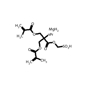 C=C(C)C(=O)OCC(CCC)(COC(=O)C(=C)C)C(=O)OCS(=O)(=O)O.[MgH2]